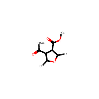 CCC1OC(CC)C(C(=O)OC(C)(C)C)C1C(=O)OC